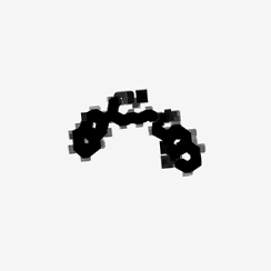 CC(=O)N(CCCCC(CC(=O)O)c1cnc2ccccc2c1)Cc1ccc2c(n1)NCCC2